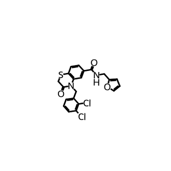 O=C(NCc1ccco1)c1ccc2c(c1)N(Cc1cccc(Cl)c1Cl)C(=O)CS2